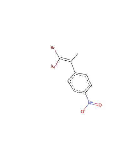 CC(=C(Br)Br)c1ccc([N+](=O)[O-])cc1